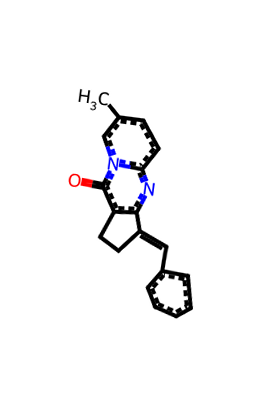 Cc1ccc2nc3c(c(=O)n2c1)CCC3=Cc1ccccc1